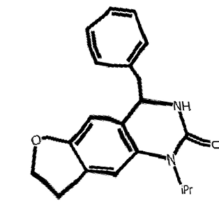 CC(C)N1C(=O)NC(c2ccccc2)c2cc3c(cc21)CCO3